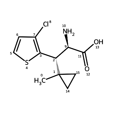 CC1([C@H](c2sccc2Cl)[C@@H](N)C(=O)O)CC1